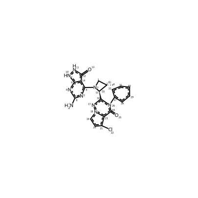 C[C@H]1CN(c2nc(N)nc3[nH][nH]c(=O)c23)[C@@H]1c1nn2ccc(Cl)c2c(=O)n1-c1ccccc1